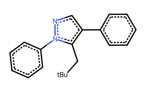 CC(C)(C)Cc1c(-c2ccccc2)cnn1-c1ccccc1